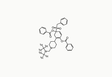 [2H]C([2H])([2H])N(CN1CCC(C2=C(OC(=O)c3ccccc3)C=CC(OC(=O)c3ccccc3)(S(=O)(=O)Cc3ccccc3)C2)CC1)C([2H])([2H])[2H]